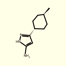 C[C@H]1CC[C@H](c2cc(N)[nH]n2)CC1